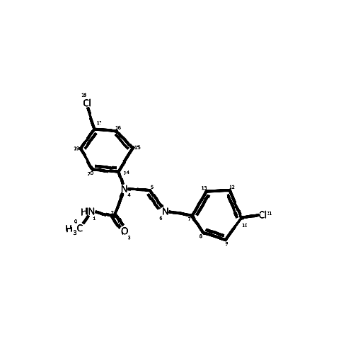 CNC(=O)N(C=Nc1ccc(Cl)cc1)c1ccc(Cl)cc1